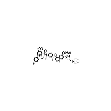 COc1cc2c(Oc3ccc(NC(=O)c4c5c(cn(-c6ccc(F)cc6)c4=O)CCO5)cc3F)ccnc2cc1NCCCN1CCOCC1